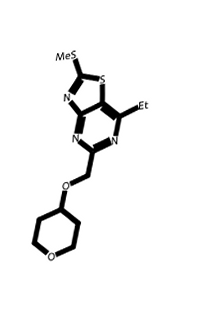 CCc1nc(COC2CCOCC2)nc2nc(SC)sc12